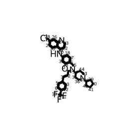 O=C(/C=C/c1ccc(C(F)(F)F)cc1)N(Cc1ccc(Nc2ccnc3cc(Cl)ccc23)cc1)C1CCN(C2CCCC2)CC1